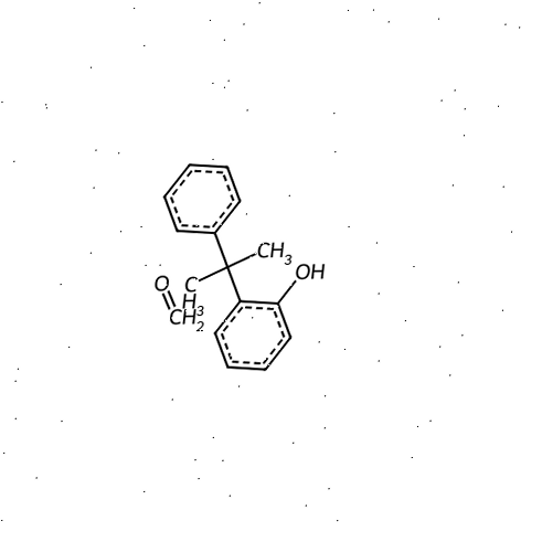 C=O.CC(C)(c1ccccc1)c1ccccc1O